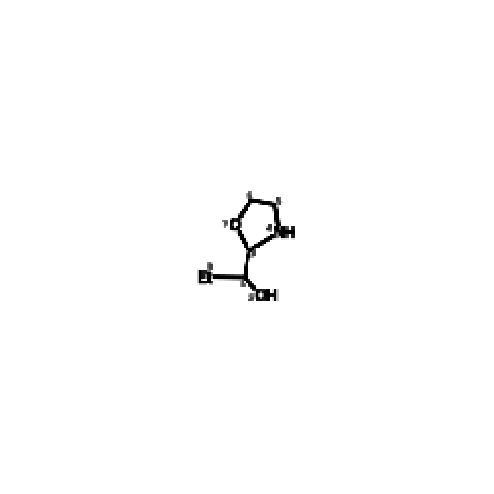 CCC(O)C1NCCO1